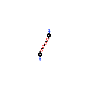 N#[N+]c1ccc(COCCOCCOCCOCc2ccc([N+]#N)cc2)cc1